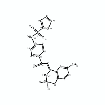 COc1ccc2c(c1)/C(=C/C(=O)c1ccc(NS(=O)(=O)c3cccs3)cc1)NC(C)(C)C2